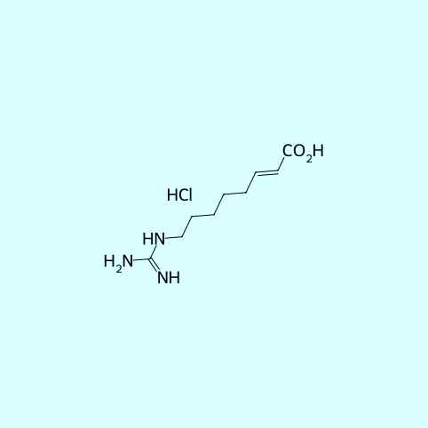 Cl.N=C(N)NCCCCC/C=C/C(=O)O